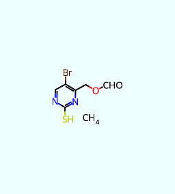 C.O=COCc1nc(S)ncc1Br